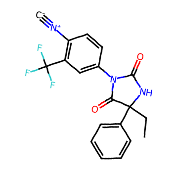 [C-]#[N+]c1ccc(N2C(=O)NC(CC)(c3ccccc3)C2=O)cc1C(F)(F)F